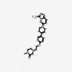 CN1CCN(CCOc2ccc(C3=CCN(c4ccc5nnc(C(F)(F)F)n5n4)CC3)cn2)CC1=O